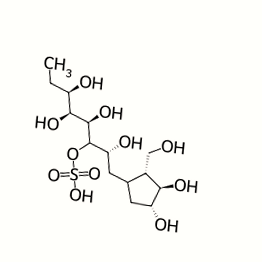 CC[C@@H](O)[C@H](O)[C@@H](O)C(OS(=O)(=O)O)[C@H](O)CC1C[C@@H](O)[C@H](O)[C@H]1CO